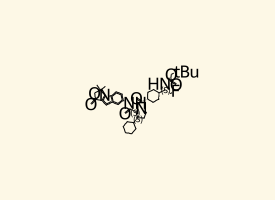 CC(C)(C)OC(=O)N[C@H](CF)[C@H]1CC[C@H](C(=O)N2CC[C@@H](C3CCCCC3)[C@H]2C(=O)Nc2ccc3c(c2)cc2n3C(C)(C)OC2=O)CC1